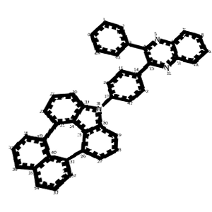 c1ccc(-c2nc3ccccc3nc2-c2ccc(-n3c4cccc5c4c4c(cccc43)-c3cccc4cccc-5c34)cc2)cc1